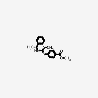 COC(=O)c1ccc(N=C(N[C@@H](C)c2ccccc2)SC)cc1